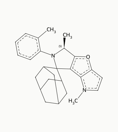 Cc1ccccc1N1[C@@H](C)c2oc3ccn(C)c3c2C12C1CC3CC(C1)CC2C3